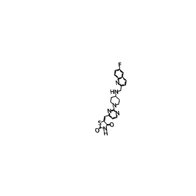 O=C1NC(=O)/C(=C\c2ccnc(N3CCC(NCc4ccc5cc(F)ccc5n4)CC3)n2)S1